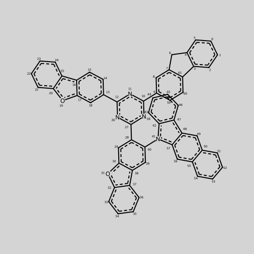 c1ccc2c(c1)Cc1cc(-c3nc(-c4ccc5c(c4)oc4ccccc45)nc(-c4cc5oc6ccccc6c5cc4-n4c5ccccc5c5cc6ccccc6cc54)n3)ccc1-2